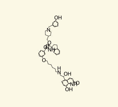 O=C(NC1(C(=O)OCC2CCN(Cc3cccc(O)c3)CC2)CCc2ccccc21)c1cccc(OCCCCCCNCC(O)c2ccc(O)c3[nH]c(=O)ccc23)c1